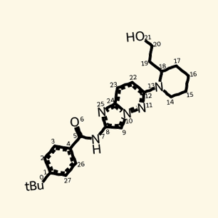 CC(C)(C)c1ccc(C(=O)Nc2cn3nc(N4CCCCC4CCO)ccc3n2)cc1